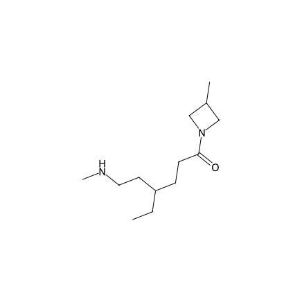 CCC(CCNC)CCC(=O)N1CC(C)C1